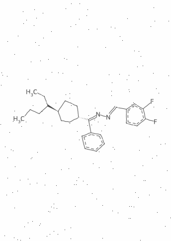 CCCC(CC)[C@H]1CC[C@H](C(=NN=Cc2ccc(F)c(F)c2)c2ccccc2)CC1